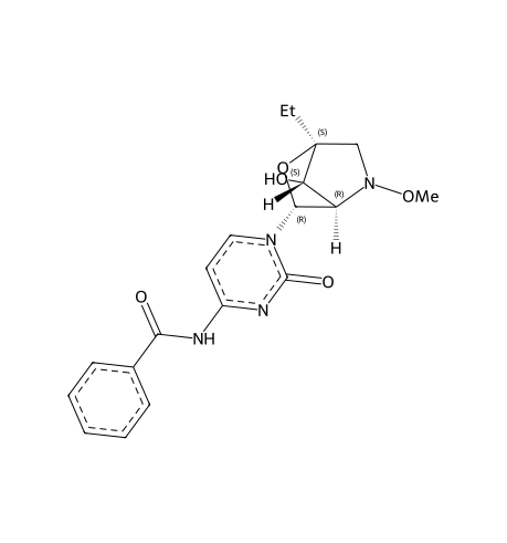 CC[C@@]12CN(OC)[C@@H]([C@H](n3ccc(NC(=O)c4ccccc4)nc3=O)O1)[C@@H]2O